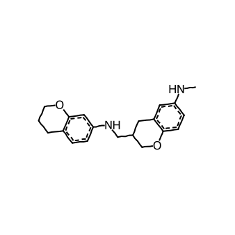 CNc1ccc2c(c1)CC(CNc1ccc3c(c1)OCCC3)CO2